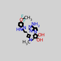 CN(C[C@H]1C[C@@H](n2ccc3c(N)ncnc32)[C@H](O)[C@@H]1O)[C@H]1C[C@@H](CCc2nc3cc(OC(C)(F)F)ccc3[nH]2)C1